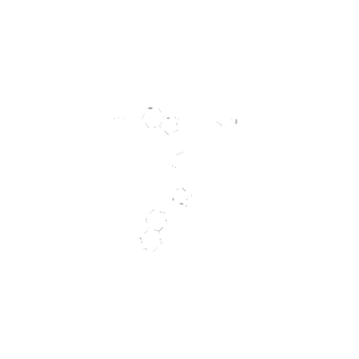 COc1ccc2[nH]c(C)c(CC(=O)NC(CCCCCC(N)=O)c3nnc(-c4ccc5ccccc5c4)o3)c2c1